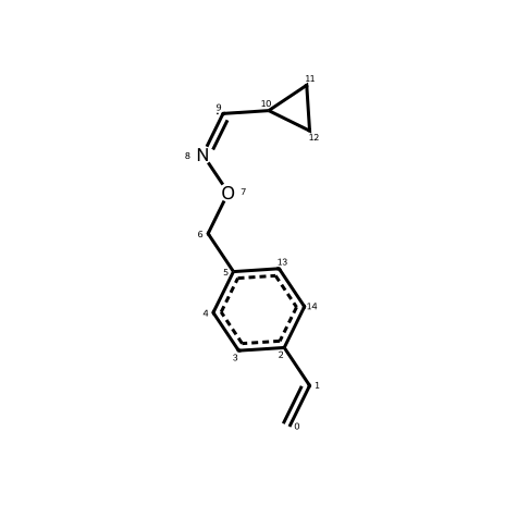 C=Cc1ccc(CO/N=[C]\C2CC2)cc1